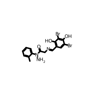 Cc1ccccc1N(N)C(=O)CN=Cc1cc(Br)c(O)c(Br)c1O